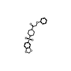 O=C(COc1ccccc1)N1CCN(S(=O)(=O)c2ccc3c(c2)OCO3)CC1